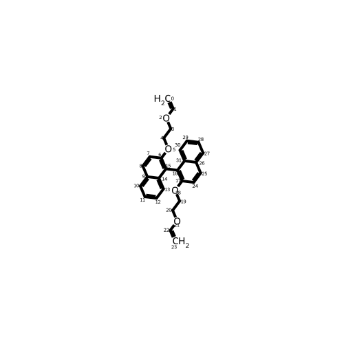 C=COCCOc1ccc2ccccc2c1-c1c(OCCOC=C)ccc2ccccc12